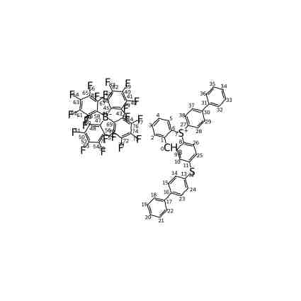 Cc1ccccc1[S+](c1ccc(Sc2ccc(-c3ccccc3)cc2)cc1)c1ccc(-c2ccccc2)cc1.Fc1c(F)c(F)c([B-](c2c(F)c(F)c(F)c(F)c2F)(c2c(F)c(F)c(F)c(F)c2F)c2c(F)c(F)c(F)c(F)c2F)c(F)c1F